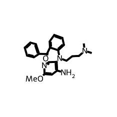 COc1cc(N)c(N(CCCN(C)C)c2ccccc2C(=O)c2ccccc2)cn1